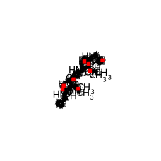 CN[C@@H](C)C(=O)N[C@H]1CN(C(=O)Nc2ccc(NC(=O)N3CC[C@H]4CC[C@@H](C(=O)N[C@H]5C[C@@H]5c5ccccc5)N4C(=O)[C@@H](NC(=O)[C@H](C)NC)C3)cc2)CC[C@H]2CCC(C(=O)N[C@H]3C[C@@H]3c3ccccc3)N2C1=O